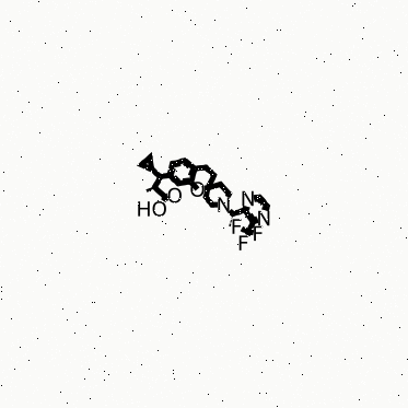 C[C@H](C(=O)O)C(c1ccc2c(c1)OC1(CC2)CCN([C@@H](C)c2nccnc2C(F)(F)F)CC1)C1CC1